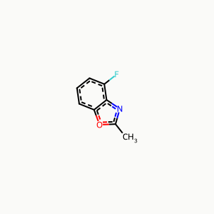 Cc1nc2c(F)cccc2o1